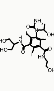 CC(O)N(C(N)=O)c1c(I)c(C(=O)NCCO)c(I)c(C(=O)NC(CO)CO)c1I